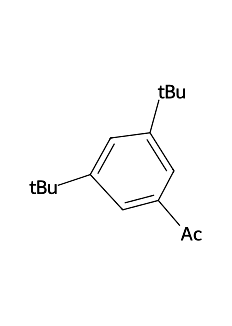 CC(=O)c1cc(C(C)(C)C)cc(C(C)(C)C)c1